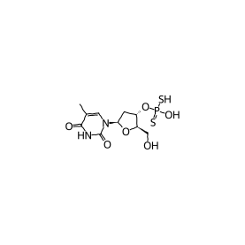 Cc1cn([C@H]2C[C@H](OP(O)(=S)S)[C@@H](CO)O2)c(=O)[nH]c1=O